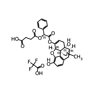 CN1CC[C@]23c4c5ccc(O)c4O[C@H]2C(OC(=O)[C@@H](OC(=O)CCC(=O)O)c2ccccc2)=CC[C@@]3(O)[C@H]1C5.O=C(O)C(F)(F)F